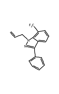 C=CCn1nc(-c2ccccc2)c2cccc(C(F)(F)F)c21